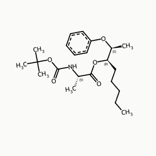 CCCCC[C@@H](OC(=O)[C@H](C)NC(=O)OC(C)(C)C)[C@H](C)Oc1ccccc1